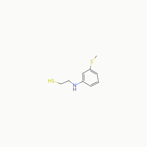 CSc1cccc(NCCS)c1